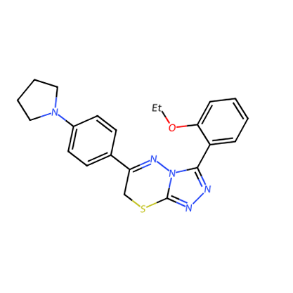 CCOc1ccccc1-c1nnc2n1N=C(c1ccc(N3CCCC3)cc1)CS2